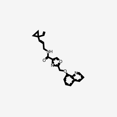 C=CC1(/C=C/CNC(=O)c2coc(COc3cccc4cccnc34)n2)CC1